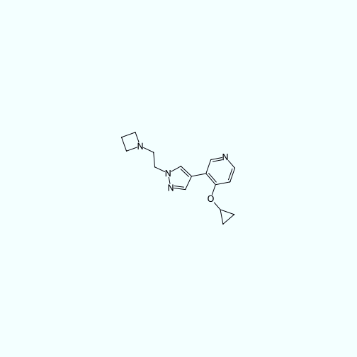 c1cc(OC2CC2)c(-c2cnn(CCN3CCC3)c2)cn1